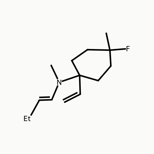 C=CC1(N(C)/C=C/CC)CCC(C)(F)CC1